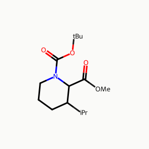 COC(=O)C1C(C(C)C)CCCN1C(=O)OC(C)(C)C